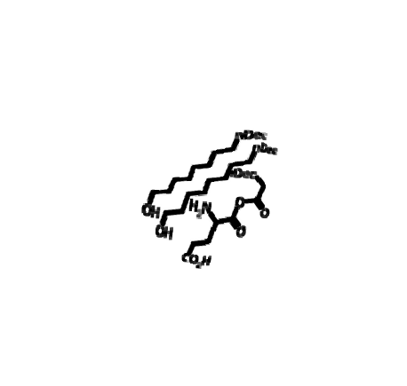 CCCCCCCCCCCC(=O)OC(=O)C(N)CCC(=O)O.CCCCCCCCCCCCCCCCCCO.CCCCCCCCCCCCCCCCCCO